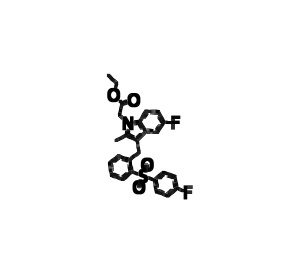 CCOC(=O)Cn1c(C)c(Cc2ccccc2S(=O)(=O)c2ccc(F)cc2)c2cc(F)ccc21